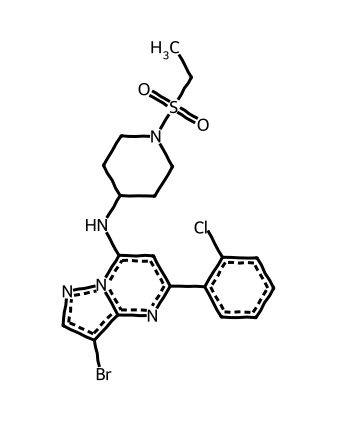 CCS(=O)(=O)N1CCC(Nc2cc(-c3ccccc3Cl)nc3c(Br)cnn23)CC1